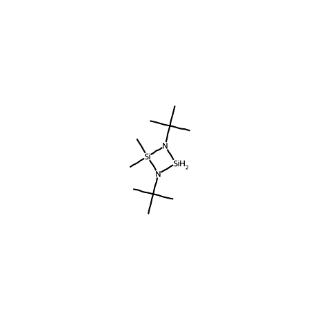 CC(C)(C)N1[SiH2]N(C(C)(C)C)[Si]1(C)C